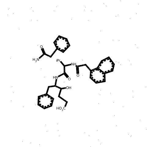 CC(C)C(NC(=O)Cc1cccc2ccccc12)C(=O)NC(Cc1ccccc1)C(O)CCC(=O)O.NC(=O)Cc1ccccc1